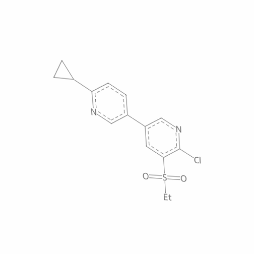 CCS(=O)(=O)c1cc(-c2ccc(C3CC3)nc2)cnc1Cl